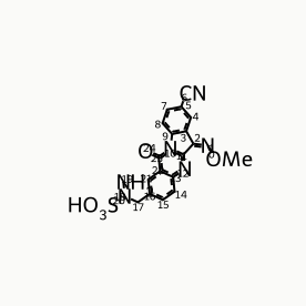 CON=C1c2cc(C#N)ccc2-n2c1nc1ccc(CN(N)S(=O)(=O)O)cc1c2=O